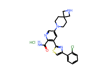 Cl.NC(=O)c1ncc(N2CCC3(CC2)CNC3)cc1-c1nc(-c2ccccc2Cl)cs1